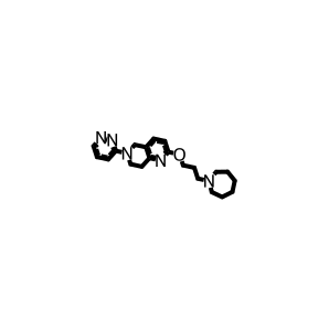 c1cnnc(N2CCc3nc(OCCCN4CCCCCC4)ccc3C2)c1